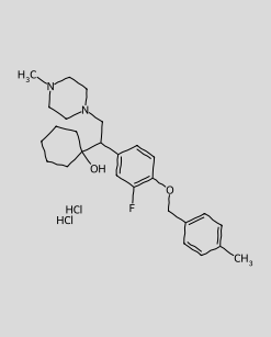 Cc1ccc(COc2ccc(C(CN3CCN(C)CC3)C3(O)CCCCC3)cc2F)cc1.Cl.Cl